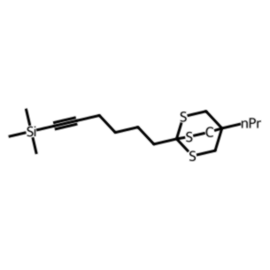 CCCC12CSC(CCCCC#C[Si](C)(C)C)(SC1)SC2